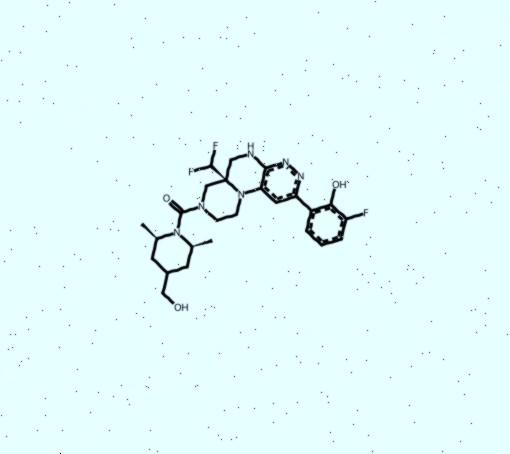 C[C@@H]1CC(CO)C[C@H](C)N1C(=O)N1CCN2c3cc(-c4cccc(F)c4O)nnc3NC[C@@]2(C(F)F)C1